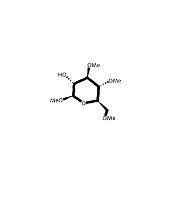 COC[C@H]1O[C@@H](OC)[C@H](O)[C@@H](OC)[C@@H]1OC